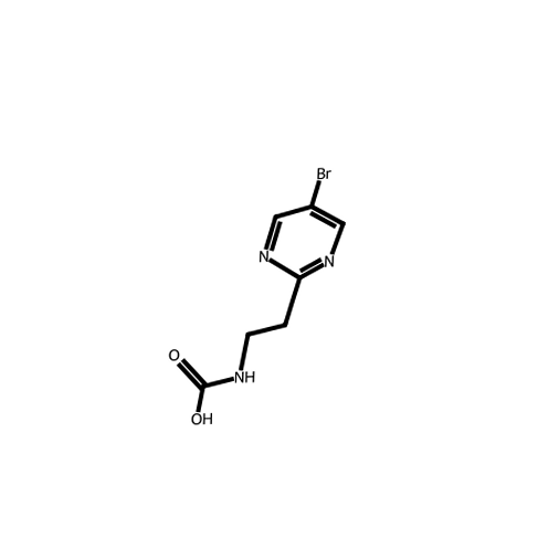 O=C(O)NCCc1ncc(Br)cn1